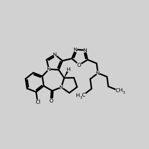 CCCN(CCC)Cc1nnc(-c2ncn3c2[C@@H]2CCCN2C(=O)c2c(Cl)cccc2-3)o1